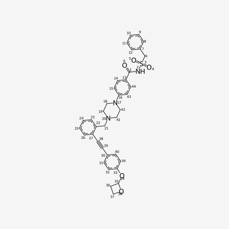 O=C(NS(=O)(=O)Cc1ccccc1)c1ccc(N2CCN(Cc3ccccc3C#Cc3ccc(OC4CCO4)cc3)CC2)cc1